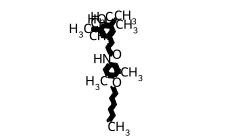 CCCCCCCCOc1c(C)cc(NC(=O)CCc2cc(C(C)(C)C)c(O)c(C(C)(C)C)c2)cc1C